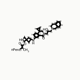 CCCCCC(C)C(=O)O[C@H]1NCC12CC(Nc1ccc3c(c1)C(=O)N(CC(O)CN1CCc4ccccc4C1)CC31CC1)C2